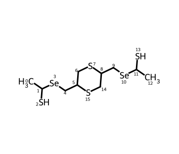 CC(S)[Se]CC1CSC(C[Se]C(C)S)CS1